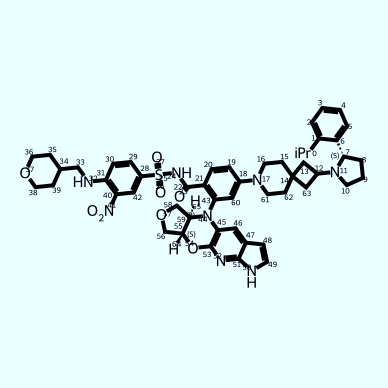 CC(C)c1ccccc1[C@@H]1CCCN1C1CC2(CCN(c3ccc(C(=O)NS(=O)(=O)c4ccc(NCC5CCOCC5)c([N+](=O)[O-])c4)c(N4c5cc6cc[nH]c6nc5O[C@@H]5COC[C@H]54)c3)CC2)C1